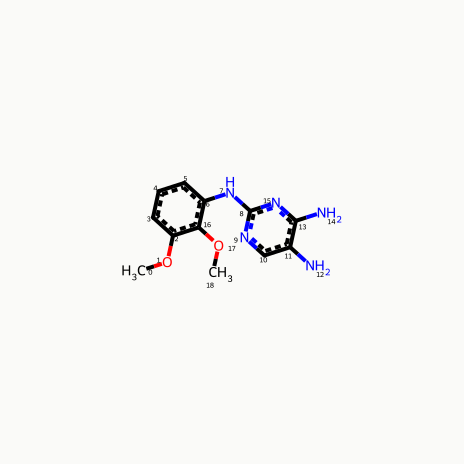 COc1cccc(Nc2ncc(N)c(N)n2)c1OC